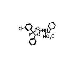 O=C(NC(CC1CCCCC1)C(=O)O)OC(c1ccccc1)C(F)(F)c1cccc(Cl)c1